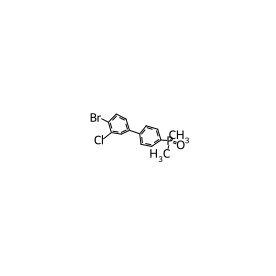 CP(C)(=O)c1ccc(-c2ccc(Br)c(Cl)c2)cc1